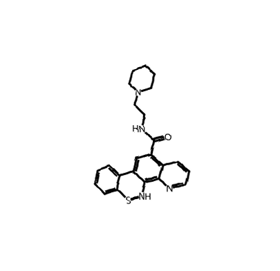 O=C(NCCN1CCCCC1)c1cc2c(c3ncccc13)NSc1ccccc1-2